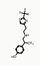 CC(CNCCc1csc(C(F)(F)F)n1)c1ccc(O)cc1